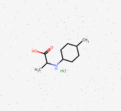 CC1CCC(NC(C)C(=O)O)CC1.Cl